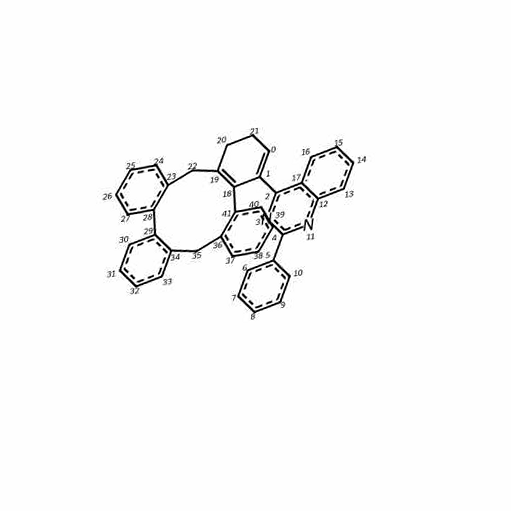 C1=C(c2nc(-c3ccccc3)nc3ccccc23)C2=C(CC1)Cc1ccccc1-c1ccccc1Cc1ccccc12